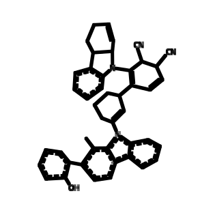 Cc1c(-c2ccccc2O)ccc2c3ccccc3n(C3=CC(C4=C(N5c6ccccc6C6CCC=CC65)C(C#N)C(C#N)C=C4)CCC3)c12